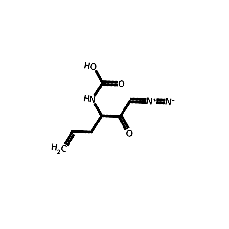 C=CCC(NC(=O)O)C(=O)C=[N+]=[N-]